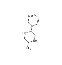 FC(F)(F)C1CNC(N2C=CC=NC2)CN1